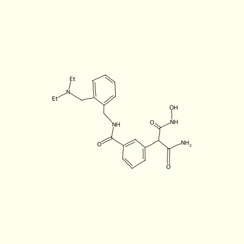 CCN(CC)Cc1ccccc1CNC(=O)c1cccc(C(C(N)=O)C(=O)NO)c1